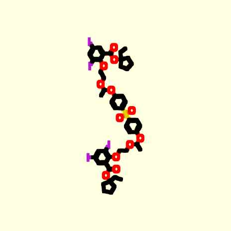 CCC1(OC(=O)c2cc(I)cc(I)c2OCCOC(C)Oc2ccc(S(=O)(=O)c3ccc(OC(C)OCCOc4c(I)cc(I)cc4C(=O)OC4(CC)CCCC4)cc3)cc2)CCCC1